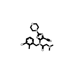 Cc1c(Cl)cccc1CN(C(=O)CN(C)C)c1nc(N2CCOCC2)sc1C#N